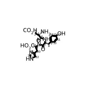 N[C@@H](CC(=O)O)C(=O)N[C@@H](Cc1ccc(O)cc1)C(=O)N[C@@H](Cc1c[nH]cn1)C(=O)O